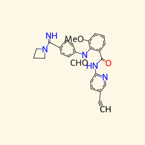 C#Cc1ccc(NC(=O)c2cccc(OC)c2N(C=O)c2ccc(C(=N)N3CCC3)cc2)nc1